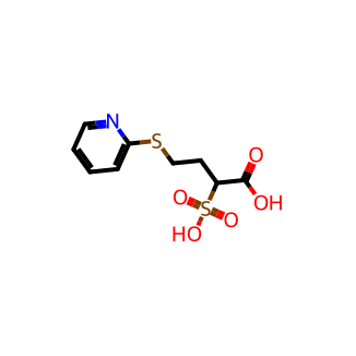 O=C(O)C(CCSc1ccccn1)S(=O)(=O)O